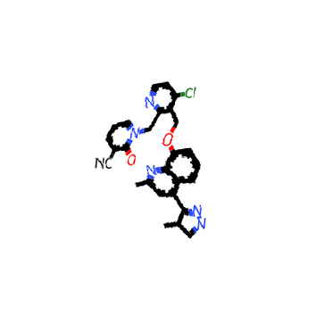 Cc1cc(C2=NN=CC2C)c2cccc(OCc3c(Cl)ccnc3Cn3cccc(C#N)c3=O)c2n1